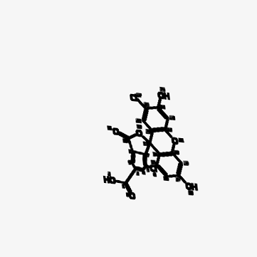 O=C(O)c1cc(Cl)c2c(c1)C(=O)OC21c2ccc(O)cc2Oc2cc(O)c(Cl)cc21